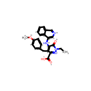 CCn1nc(C(=O)O)c(Cc2ccc(OC)cc2)c(Nc2cncc3ccccc23)c1=O